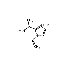 Br.C=Cn1ccnc1C(C)N